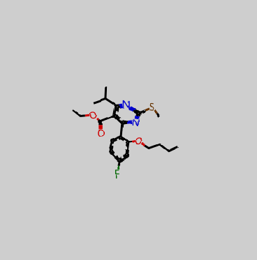 CCCCOc1cc(F)ccc1-c1nc(SC)nc(C(C)C)c1C(=O)OCC